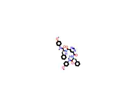 COc1ccc(N(C)C(=O)[C@H](Cc2ccccc2)NC(=O)c2cc(C(=O)N[C@@H](Cc3ccccc3)C(=O)N(C)c3ccc(OC)cc3)ncn2)cc1